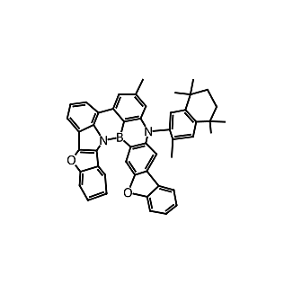 Cc1cc2c3c(c1)N(c1cc4c(cc1C)C(C)(C)CCC4(C)C)c1cc4c(cc1B3n1c3c-2cccc3c2oc3ccccc3c21)oc1ccccc14